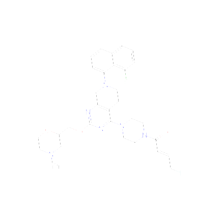 CC(C)N1CCOC(COc2nc3c(c(N4CCN(C(=O)/C=C/CF)CC4)n2)CCN(c2cccc4cccc(Cl)c24)C3)C1